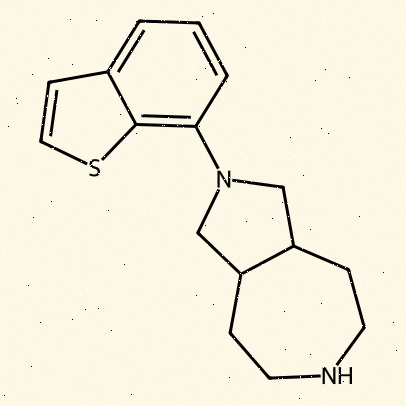 c1cc(N2CC3CCNCCC3C2)c2sccc2c1